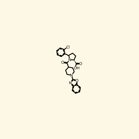 O=C(O)[C@@H]1CCC(c2ccccc2Cl)N1C(=O)C1CCN(c2nc3ccccc3o2)CC1